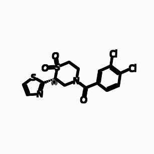 O=C(c1ccc(Cl)c(Cl)c1)N1CCS(=O)(=O)[C@@H](c2nccs2)C1